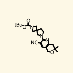 CC(C)(C)OC(=O)N1CC2(CCN(c3nc4c(cc3C#N)COC(C)(C)C4)C2)C1